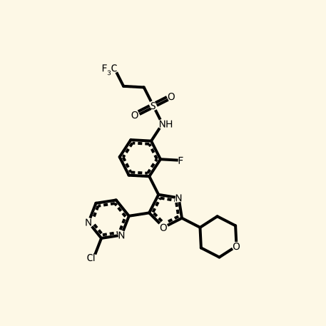 O=S(=O)(CCC(F)(F)F)Nc1cccc(-c2nc(C3CCOCC3)oc2-c2ccnc(Cl)n2)c1F